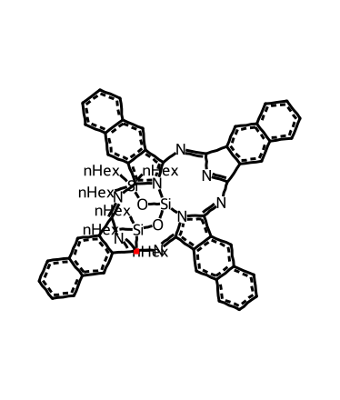 CCCCCC[Si](CCCCCC)(CCCCCC)O[Si]1(O[Si](CCCCCC)(CCCCCC)CCCCCC)n2c3c4cc5ccccc5cc4c2/N=C2N=C(/N=c4/c5cc6ccccc6cc5/c(n41)=N/C1=NC(=N\3)/c3cc4ccccc4cc31)c1cc3ccccc3cc1\2